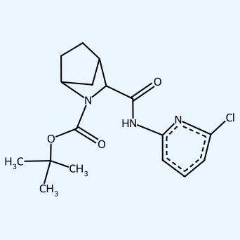 CC(C)(C)OC(=O)N1C2CCC(C2)C1C(=O)Nc1cccc(Cl)n1